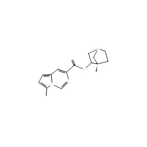 O=C(NC1CN2CC[C@H]1C2)c1cc2ccc(Cl)n2cn1